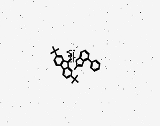 CC1=Cc2c(-c3ccccc3)cccc2[CH]1[Zr]([CH]1c2cc(C(C)(C)C)ccc2-c2ccc(C(C)(C)C)cc21)=[Si](C)C